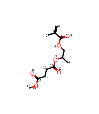 C=C(C)C(=O)OCC(C)OC(=O)CCC(=O)OC